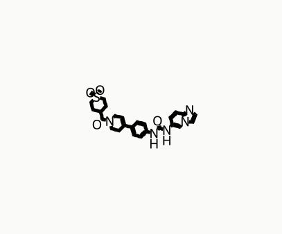 O=C(Nc1ccc(C2=CCN(C(=O)C3CCS(=O)(=O)CC3)CC2)cc1)Nc1ccc2nccn2c1